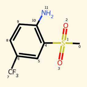 CS(=O)(=O)c1cc(C(F)(F)F)ccc1N